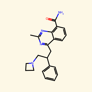 Cc1nc(CC(CN2CCC2)c2ccccc2)c2cccc(C(N)=O)c2n1